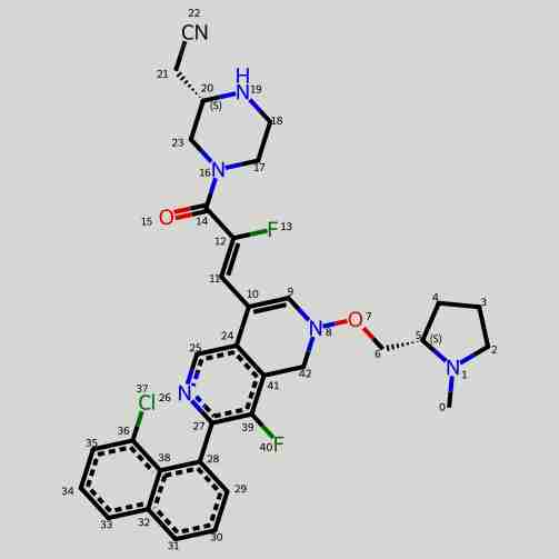 CN1CCC[C@H]1CON1C=C(C=C(F)C(=O)N2CCN[C@@H](CC#N)C2)c2cnc(-c3cccc4cccc(Cl)c34)c(F)c2C1